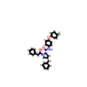 O=C(Nc1ccc(Oc2ccc(F)cc2)cc1)[C@@H]1C[C@@H](Cc2ccccc2)CN1C(=O)Cc1ccccc1